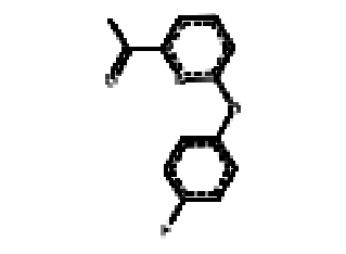 CC(=O)c1cccc(Oc2ccc(F)cc2)n1